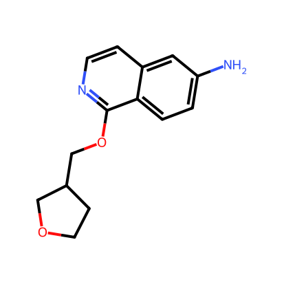 Nc1ccc2c(OCC3CCOC3)nccc2c1